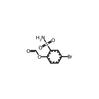 NS(=O)(=O)c1cc(Br)ccc1OC=O